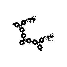 CCC1(COCc2ccc(N(c3ccc(C)cc3)c3ccc(-c4ccc(N(c5ccccc5)c5ccc(-c6ccc(N(c7ccc(C)cc7)c7ccc(COCC8(CC)COC8)cc7)cc6)cc5)cc4)cc3)cc2)COC1